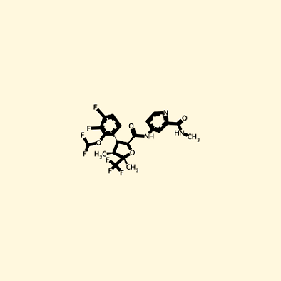 CNC(=O)c1cc(NC(=O)[C@H]2O[C@](C)(C(F)(F)F)[C@@H](C)[C@@H]2c2ccc(F)c(F)c2OC(F)F)ccn1